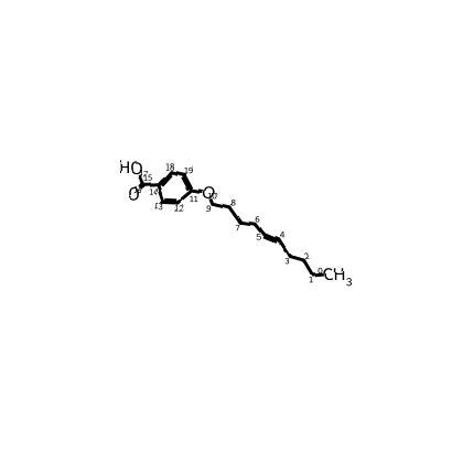 CCCCC=CCCCCOc1ccc(C(=O)O)cc1